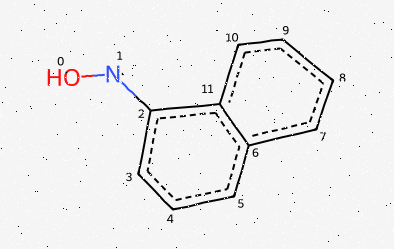 O[N]c1cccc2ccccc12